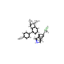 CC1=C2C3=CN=CC3=C1[Si]2(C)C.CCCc1ccc(-c2cccc3c2C=C(C)[CH]3[Zr+2])cc1.[Cl-].[Cl-]